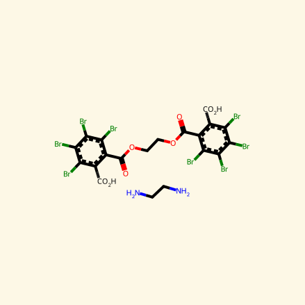 NCCN.O=C(O)c1c(Br)c(Br)c(Br)c(Br)c1C(=O)OCCOC(=O)c1c(Br)c(Br)c(Br)c(Br)c1C(=O)O